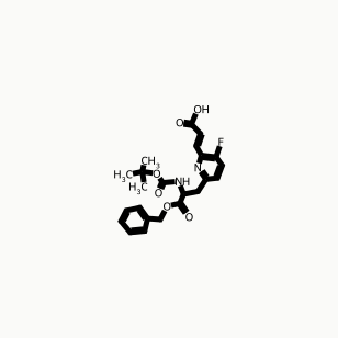 CC(C)(C)OC(=O)NC(Cc1ccc(F)c(C=CC(=O)O)n1)C(=O)OCc1ccccc1